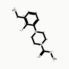 CC(C)(C)OC(=O)N1CCN(c2cccc(CO)c2F)CC1